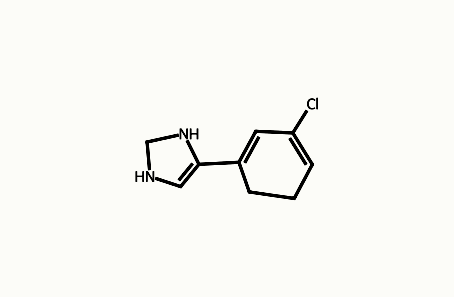 ClC1=CCCC(C2=CNCN2)=C1